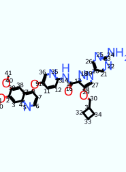 COc1cc2nccc(Oc3ccc(NC(=O)c4nn(-c5cnc(N)nc5)cc4OCC4CCC4)nc3)c2cc1OC